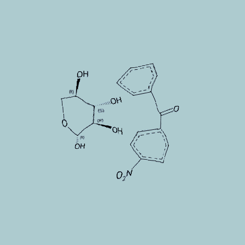 O=C(c1ccccc1)c1ccc([N+](=O)[O-])cc1.O[C@@H]1[C@@H](O)[C@H](O)OC[C@H]1O